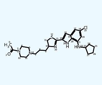 CC(=O)N1CCN(CCCC2CSC(c3cc4cc(Cl)cc(NC5CCCC5)c4[nH]3)=N2)CC1